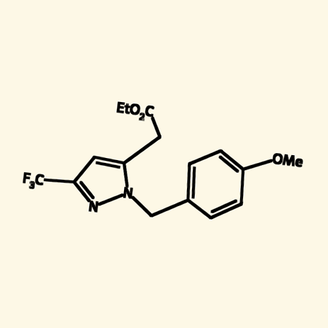 CCOC(=O)Cc1cc(C(F)(F)F)nn1Cc1ccc(OC)cc1